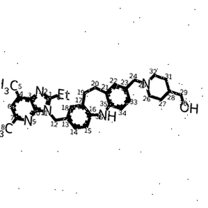 CCc1nc2c(C)cc(C)nc2n1Cc1ccc2c(c1)CCc1cc(CN3CCC(CO)CC3)ccc1N2